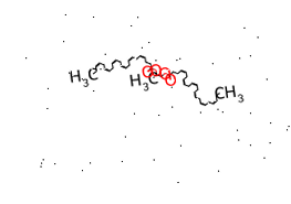 CC/C=C\C/C=C\C/C=C\C/C=C\C/C=C\C/C=C\CCC(=O)OCC(C)OC(=O)CC/C=C\C/C=C\C/C=C\C/C=C\C/C=C\C/C=C\CC